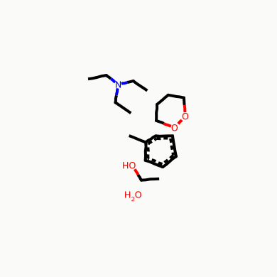 C1CCOOC1.CCN(CC)CC.CCO.Cc1ccccc1.O